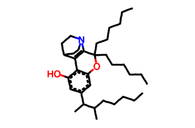 CCCCCCC1(CCCCCC)Oc2cc(C(C)C(C)CCCCC)cc(O)c2C2=C1N1CCC2CC1